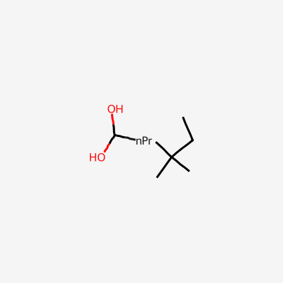 CCC(C)(C)C.CCCC(O)O